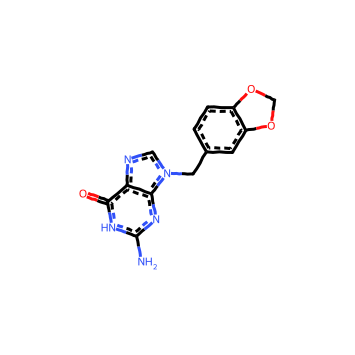 Nc1nc2c(ncn2Cc2ccc3c(c2)OCO3)c(=O)[nH]1